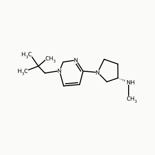 CN[C@H]1CCN(C2=NCN(CC(C)(C)C)C=C2)C1